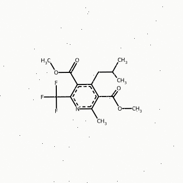 COC(=O)c1c(C)nc(C(F)(F)F)c(C(=O)OC)c1CC(C)C